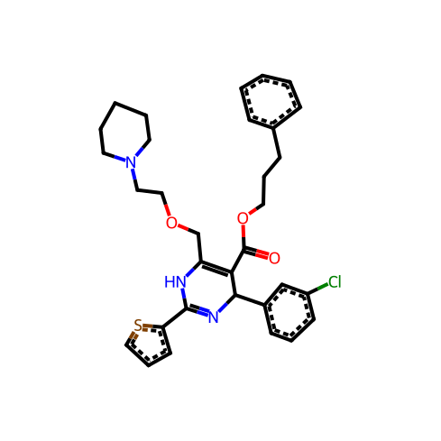 O=C(OCCCc1ccccc1)C1=C(COCCN2CCCCC2)NC(c2cccs2)=NC1c1cccc(Cl)c1